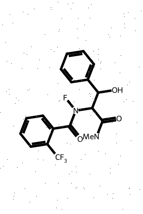 CNC(=O)C(C(O)c1ccccc1)N(F)C(=O)c1ccccc1C(F)(F)F